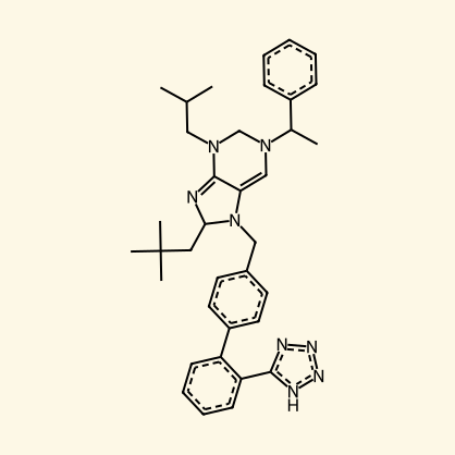 CC(C)CN1CN(C(C)c2ccccc2)C=C2C1=NC(CC(C)(C)C)N2Cc1ccc(-c2ccccc2-c2nnn[nH]2)cc1